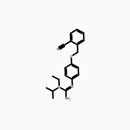 CCN(C(N)=Nc1ccc(OCc2ccccc2C#N)cc1)C(C)C